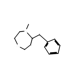 CN1CCNCCC1Cc1ccccc1